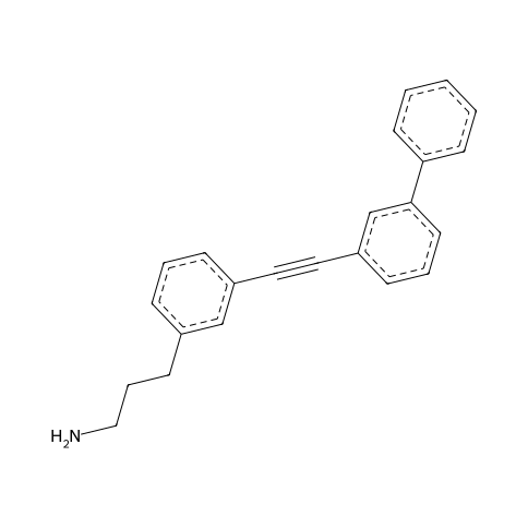 NCCCc1cccc(C#Cc2cccc(-c3ccccc3)c2)c1